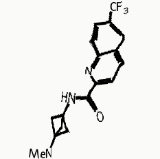 CNC12CC(NC(=O)c3ccc4cc(C(F)(F)F)ccc4n3)(C1)C2